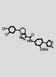 COc1cc(NC(=O)c2nnn3c2CCC3c2ccc(Cl)c(Cl)c2)ccc1-c1cnn(C)c1